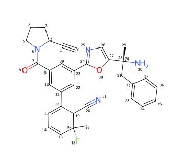 C#CC1CCCN1C(=O)c1cc(C2=CC=CC(C)(F)C2C#N)cc(-c2ncc([C@](C)(N)Cc3ccccc3)o2)c1